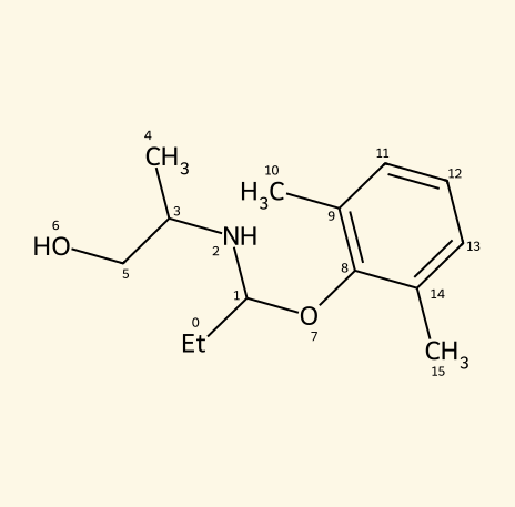 CCC(NC(C)CO)Oc1c(C)cccc1C